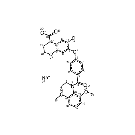 CCN(C(=O)c1ccc(Oc2cc3c(cc2Cl)C(C(=O)[O-])CCO3)cc1)c1c(OC)cccc1OC.[Na+]